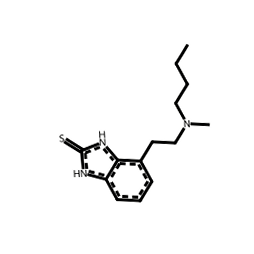 CCCCN(C)CCc1cccc2[nH]c(=S)[nH]c12